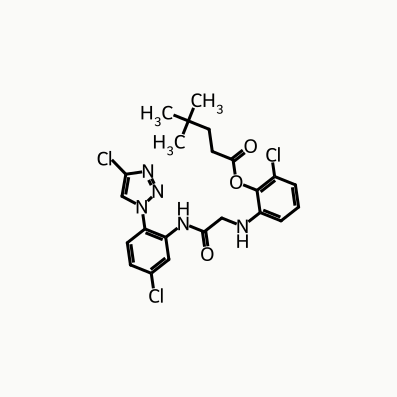 CC(C)(C)CCC(=O)Oc1c(Cl)cccc1NCC(=O)Nc1cc(Cl)ccc1-n1cc(Cl)nn1